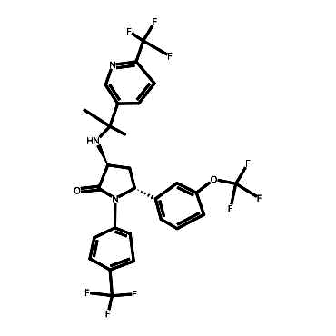 CC(C)(N[C@H]1C[C@H](c2cccc(OC(F)(F)F)c2)N(c2ccc(C(F)(F)F)cc2)C1=O)c1ccc(C(F)(F)F)nc1